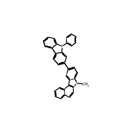 Cn1c2ccc(-c3ccc4c5ccccc5p(-c5ccccc5)c4c3)cc2c2c3ccccc3ccc21